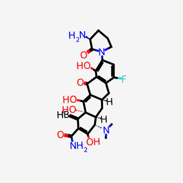 B=C1C(C(N)=O)=C(O)[C@@H](N(C)C)[C@@H]2C[C@@H]3Cc4c(F)cc(N5CCC[C@H](N)C5=O)c(O)c4C(=O)C3=C(O)[C@]12O